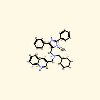 CCCCn1c(-c2ccccc2)nc(-c2ccccc2)c1CN(Cc1cnc2ccccc2c1)CC1CCCCC1